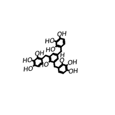 Oc1ccc(Cc2cc(Cc3ccc(O)c(O)c3O)c(O)c(Cc3ccc(O)c(O)c3O)c2)c(O)c1O